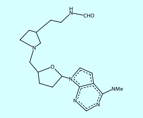 CNc1ncnc2c1ccn2C1CCC(CN2CCC(CCNC=O)C2)O1